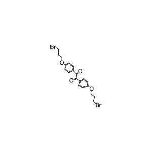 O=C(C(=O)c1ccc(OCCCBr)cc1)c1ccc(OCCCBr)cc1